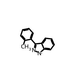 Cc1ccccc1C1=N[N]c2ccccc21